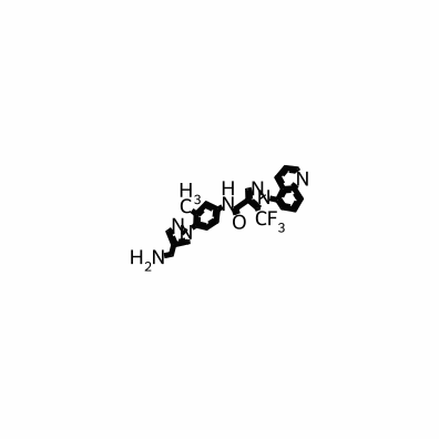 Cc1cc(NC(=O)c2cnn(-c3cccc4ncccc34)c2C(F)(F)F)ccc1-n1cc(CN)cn1